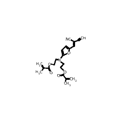 C#C/C(C#N)=C/c1ccc(N(CCOC(=O)C(=C)C)CCOC(=O)C(=C)C)o1